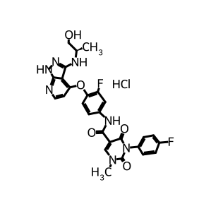 C[C@H](CO)Nc1n[nH]c2nccc(Oc3ccc(NC(=O)c4cn(C)c(=O)n(-c5ccc(F)cc5)c4=O)cc3F)c12.Cl